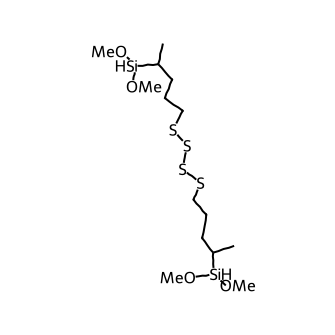 CO[SiH](OC)C(C)CCCSSSSCCCC(C)[SiH](OC)OC